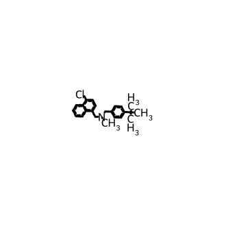 CN(Cc1ccc(C(C)(C)C)cc1)Cc1ccc(Cl)c2ccccc12